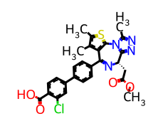 COC(=O)C[C@@H]1N=C(c2ccc(-c3ccc(C(=O)O)c(Cl)c3)cc2)c2c(sc(C)c2C)-n2c(C)nnc21